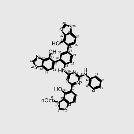 CCCCCCCCN1CSc2ccc(-c3nc(Nc4ccccc4)nc(Nc4ccc(-c5ccc6scnc6c5O)cc4-c4ccc5scnc5c4O)n3)c(O)c21